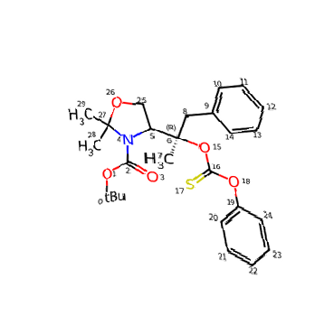 CC(C)(C)OC(=O)N1C([C@@](C)(Cc2ccccc2)OC(=S)Oc2ccccc2)COC1(C)C